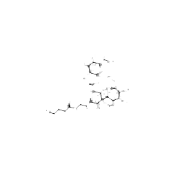 NCCCC(=O)NCC[C@H]1O[C@H](C(O)O[C@H]2O[C@H](CO)[C@@H](O)[C@H](O)[C@@H]2O)[C@@H](O)[C@@](O)([C@H]2O[C@H](CO)[C@@H](O)[C@H](O)[C@@H]2O)[C@@H]1O